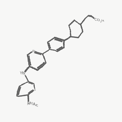 CC(=O)Nc1ccc(Nc2ccc(-c3ccc(C4CCC(CC(=O)O)CC4)cc3)nc2)cn1